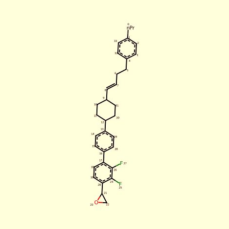 CCCc1ccc(CC/C=C/C2CCC(c3ccc(-c4ccc(C5CO5)c(F)c4F)cc3)CC2)cc1